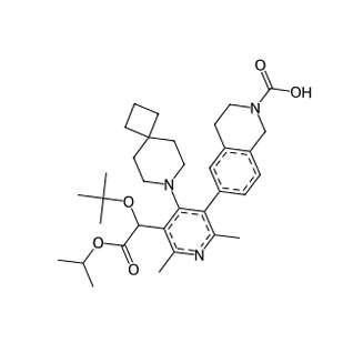 Cc1nc(C)c(C(OC(C)(C)C)C(=O)OC(C)C)c(N2CCC3(CCC3)CC2)c1-c1ccc2c(c1)CCN(C(=O)O)C2